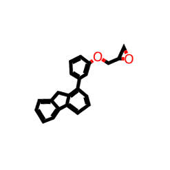 c1cc(OCC2CO2)cc(-c2cccc3c2Cc2ccccc2-3)c1